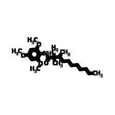 CCCCCCCCC(C)C(C)(C)C(=O)Nc1c(OC)cc(OC)cc1OC